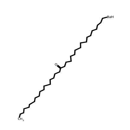 CCCCCCCCCCCCCCCCCC(=O)CCCCCCCCCCCCCCC[CH2][BaH]